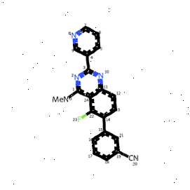 CNc1nc(-c2cccnc2)nc2ccc(-c3cccc(C#N)c3)c(F)c12